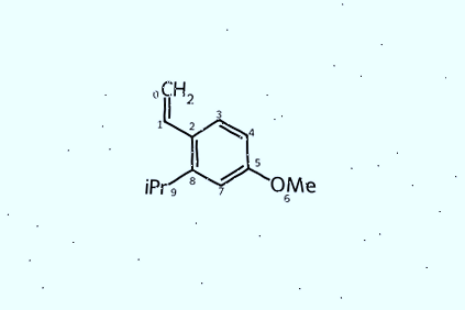 C=Cc1ccc(OC)cc1C(C)C